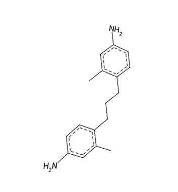 Cc1cc(N)ccc1CCCc1ccc(N)cc1C